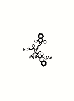 CNC(=O)[C@H](Cc1ccccc1)NC(=O)[C@H](CC(C)C)N(CCCN1C(=O)c2ccccc2C1=O)C(=O)CSC(C)=O